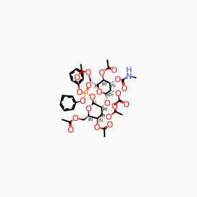 CNC(=O)O[C@@H]1[C@H](OC(C)=O)[C@H](O[C@H]2[C@H](OP(=O)(Oc3ccccc3)Oc3ccccc3)O[C@H](COC(C)=O)[C@H](OC(C)=O)[C@H]2OC(C)=O)O[C@H](COC(C)=O)[C@H]1OC(C)=O